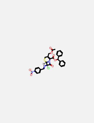 CC(=O)OCC1=C(C(=O)OC(c2ccccc2)c2ccccc2)N2C(=O)[C@@](Cl)(N=Cc3ccc([N+](=O)[O-])cc3)[C@H]2SC1